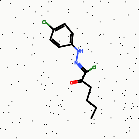 CCCCC(=O)C(Cl)=NNc1ccc(Cl)cc1